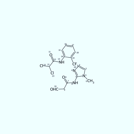 Cn1ccnc1NC(=O)CC=O.O=C(Nc1ccccc1C(F)(F)F)C(Cl)Cl